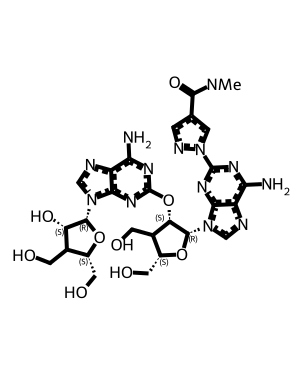 CNC(=O)c1cnn(-c2nc(N)c3ncn([C@@H]4O[C@H](CO)C(CO)[C@@H]4Oc4nc(N)c5ncn([C@@H]6O[C@H](CO)C(CO)[C@@H]6O)c5n4)c3n2)c1